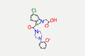 COc1ccccc1N1CCN(C(=O)c2cn(CC(=O)O)c3cc(Cl)ccc23)CC1